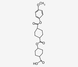 COc1ccc(OC(=O)C2CCC(C(=O)OC3CCC(C(=O)O)CC3)CC2)cc1